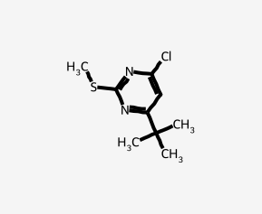 CSc1nc(Cl)cc(C(C)(C)C)n1